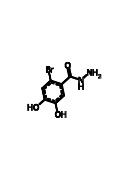 NNC(=O)c1cc(O)c(O)cc1Br